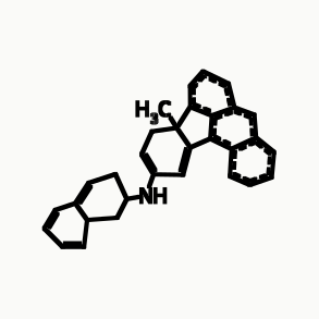 CC12CC=C(NC3CC=C4C=CC=CC4C3)C=C1c1c3ccccc3cc3cccc2c13